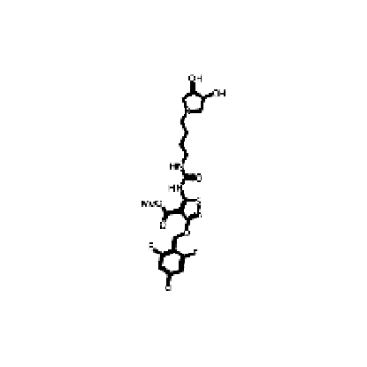 COC(=O)c1c(OCc2c(F)cc(Cl)cc2F)nsc1NC(=O)NCCCCN1CC(O)C(O)C1